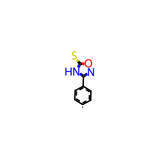 S=c1[nH]c(-c2cc[c]cc2)no1